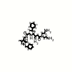 Cc1nn(Cc2ccccc2)c(C)c1CNC(=O)[C@H](CCc1ccccc1)NC(=O)[C@@H](N)CC(=O)N(CCN)CCN